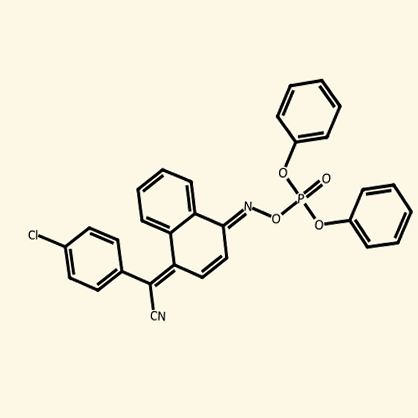 N#CC(=C1C=CC(=NOP(=O)(Oc2ccccc2)Oc2ccccc2)c2ccccc21)c1ccc(Cl)cc1